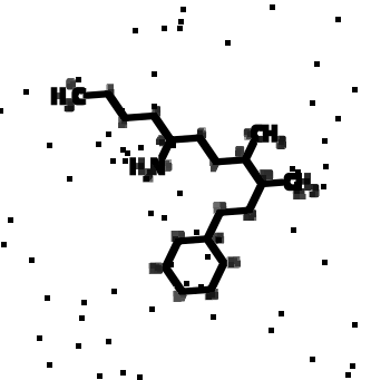 CCCCC(N)CCC(C)C(C)CCC1CCCCC1